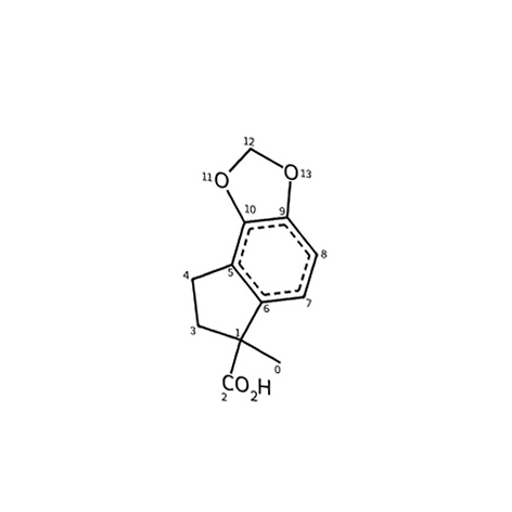 CC1(C(=O)O)CCc2c1ccc1c2OCO1